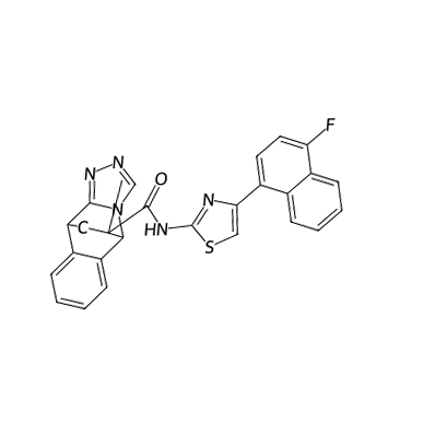 CC1(C(=O)Nc2nc(-c3ccc(F)c4ccccc34)cs2)CC2c3ccccc3C1n1cnnc12